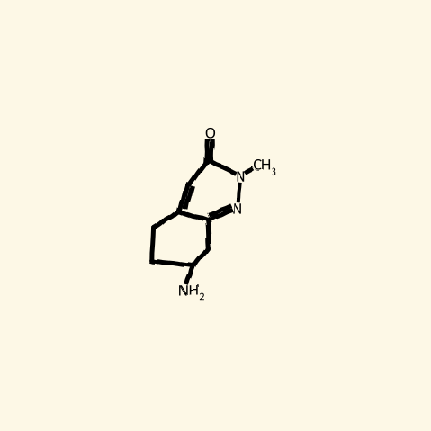 Cn1nc2c(cc1=O)CCC(N)C2